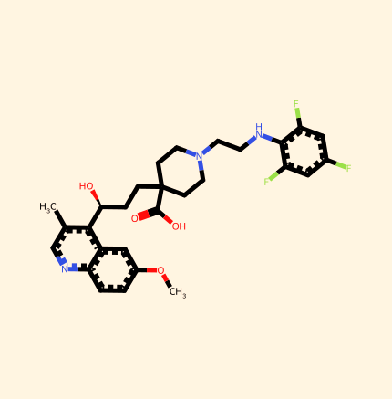 COc1ccc2ncc(C)c([C@@H](O)CCC3(C(=O)O)CCN(CCNc4c(F)cc(F)cc4F)CC3)c2c1